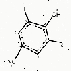 Cc1cc(C#N)cc(I)c1O